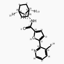 O=C(N[C@@H]1C[C@H]2CC[C@@H]1N2)c1ccc(-c2ncccc2F)o1